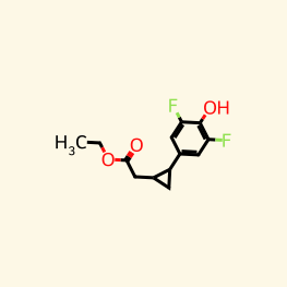 CCOC(=O)CC1CC1c1cc(F)c(O)c(F)c1